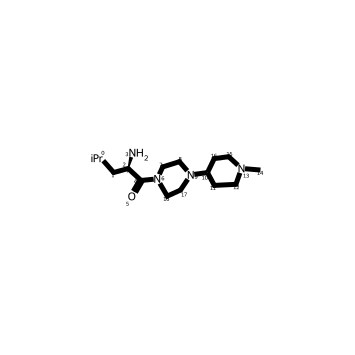 CC(C)C[C@@H](N)C(=O)N1CCN(C2CCN(C)CC2)CC1